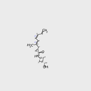 C=C/C=C\C=C(/C)COC(=O)N[C@H]1C[C@H](CO)C1